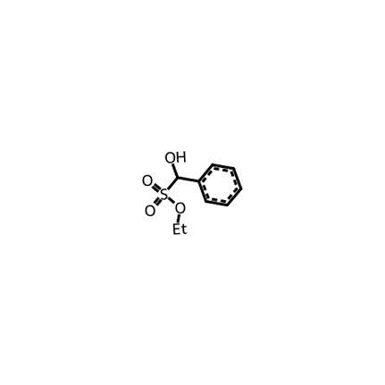 CCOS(=O)(=O)C(O)c1ccccc1